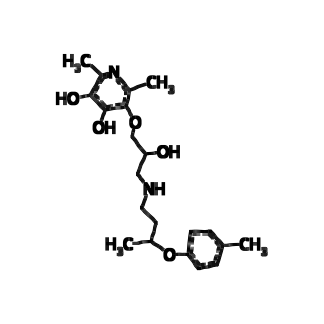 Cc1ccc(OC(C)CCNCC(O)COc2c(C)nc(C)c(O)c2O)cc1